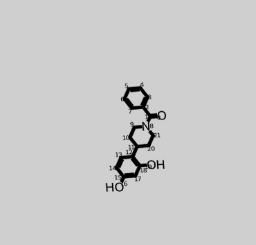 O=C(c1ccccc1)N1CCC(c2ccc(O)cc2O)CC1